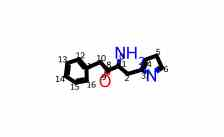 NC(CC1=CCC=N1)C(=O)Cc1ccccc1